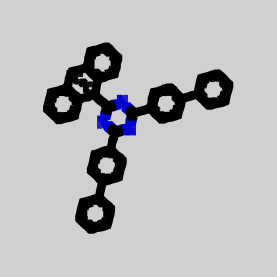 c1ccc(-c2ccc(-c3nc(-c4ccc(-c5ccccc5)cc4)nc(C45CCC(c6ccccc64)c4ccccc45)n3)cc2)cc1